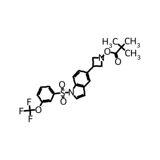 CC(C)(C)C(=O)ON1CC(c2ccc3c(ccn3S(=O)(=O)c3cccc(OC(F)(F)F)c3)c2)C1